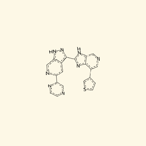 c1cnc(-c2cc3c(-c4nc5c(-c6ccsc6)cncc5[nH]4)n[nH]c3cn2)cn1